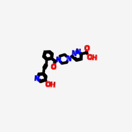 O=C(O)c1ccc(N2CCN(C(=O)c3ccccc3C#Cc3cncc(O)c3)CC2)nn1